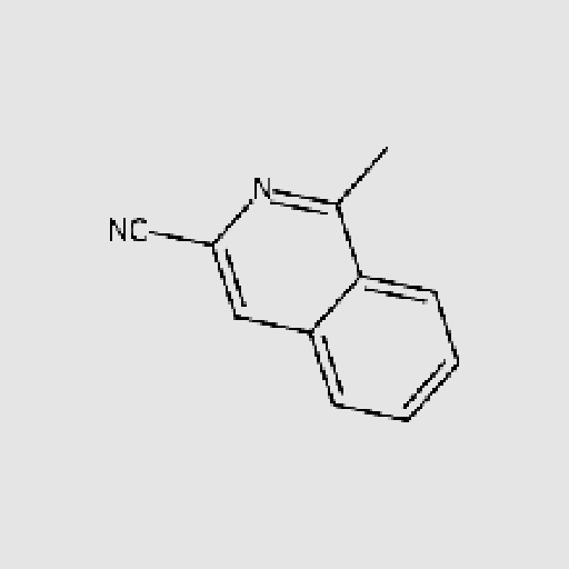 Cc1nc(C#N)cc2ccccc12